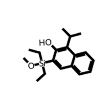 CC[Si](CC)(OC)c1cc2ccccc2c(C(C)C)c1O